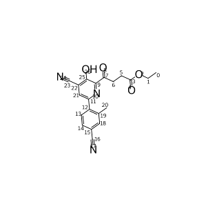 CCOC(=O)CCC(=O)c1nc(-c2ccc(C#N)cc2C)cc(C#N)c1O